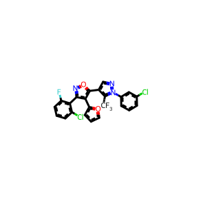 Fc1cccc(Cl)c1-c1noc(-c2cnn(-c3cccc(Cl)c3)c2C(F)(F)F)c1-c1ccco1